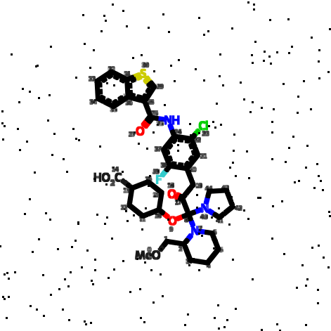 COCC1CCCCN1C(OC1CCC(C(=O)O)CC1)(C(=O)Cc1cc(Cl)c(NC(=O)c2csc3ccccc23)cc1F)N1CCCC1